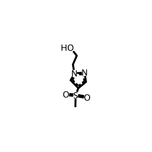 CS(=O)(=O)c1cnn(CCO)c1